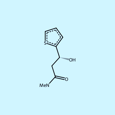 CNC(=O)C[C@@H](O)c1cccs1